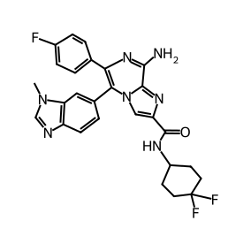 Cn1cnc2ccc(-c3c(-c4ccc(F)cc4)nc(N)c4nc(C(=O)NC5CCC(F)(F)CC5)cn34)cc21